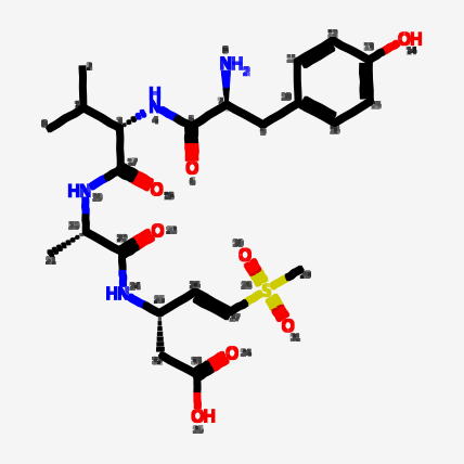 CC(C)[C@H](NC(=O)[C@@H](N)Cc1ccc(O)cc1)C(=O)N[C@@H](C)C(=O)N[C@H](/C=C/S(C)(=O)=O)CC(=O)O